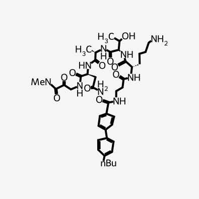 CCCCc1ccc(-c2ccc(C(=O)NCCC(=O)N[C@@H](CCCCN)C(=O)N[C@H](C(=O)N[C@@H](C)C(=O)N[C@@H](CC(N)=O)C(=O)NCC(=O)C(=O)NC)C(C)O)cc2)cc1